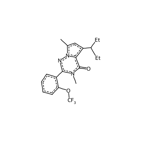 CCC(CC)c1cc(C)n2nc(-c3ccccc3OC(F)(F)F)n(C)c(=O)c12